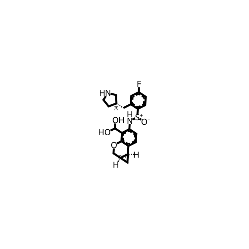 [O-][S+](Nc1ccc2c(c1C(O)O)OC[C@@H]1C[C@H]21)c1ccc(F)cc1C[C@@H]1CCNC1